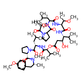 COc1ccc(C[C@@H](C)N(C)C(=O)[C@@H]2CCCN2C(=O)[C@H](CC(C)C)NC(=O)[C@@H](OC(=O)C[C@H](O)[C@H](NC(=O)[C@@H](NC(=O)C(CC(C)C)N(C)C(=O)C2CCCN2C(=O)[C@H](C)O)[C@@H](C)OC)C(C)C)C(C)C)cc1